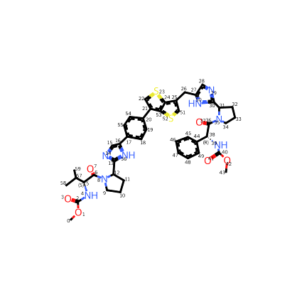 COC(=O)N[C@H](C(=O)N1CCCC1c1ncc(-c2ccc(-c3csc4c(Cc5cnc(C6CCCN6C(=O)[C@H](NC(=O)OC)c6ccccc6)[nH]5)csc34)cc2)[nH]1)C(C)C